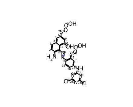 Nc1ccc2cc(SOOO)cc(O)c2c1/N=N/c1ccc(Nc2nc(Cl)nc(Cl)n2)cc1SOOO